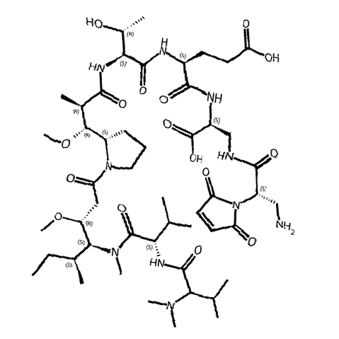 CC[C@H](C)[C@@H]([C@@H](CC(=O)N1CCC[C@H]1[C@H](OC)[C@@H](C)C(=O)N[C@H](C(=O)N[C@@H](CCC(=O)O)C(=O)N[C@@H](CNC(=O)[C@H](CN)N1C(=O)C=CC1=O)C(=O)O)[C@@H](C)O)OC)N(C)C(=O)[C@@H](NC(=O)C(C(C)C)N(C)C)C(C)C